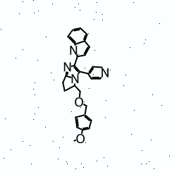 COc1ccc(COCC2CCc3nc(-c4ccc5ccccc5n4)c(-c4ccncc4)n32)cc1